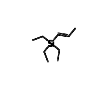 CC=C[Si](CC)(CC)CC